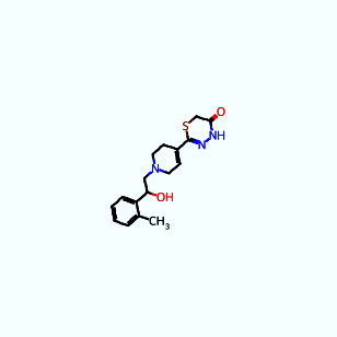 Cc1ccccc1C(O)CN1CC=C(C2=NNC(=O)CS2)CC1